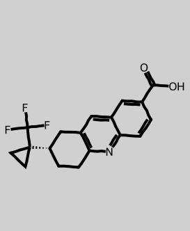 O=C(O)c1ccc2nc3c(cc2c1)C[C@@H](C1(C(F)(F)F)CC1)CC3